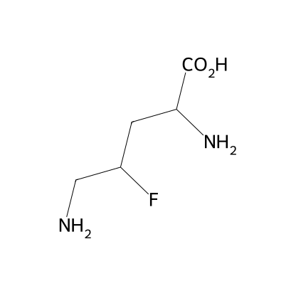 NCC(F)CC(N)C(=O)O